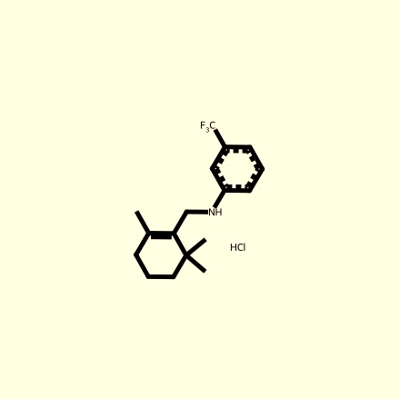 CC1=C(CNc2cccc(C(F)(F)F)c2)C(C)(C)CCC1.Cl